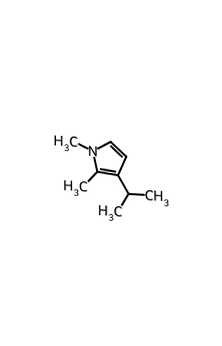 Cc1c(C(C)C)ccn1C